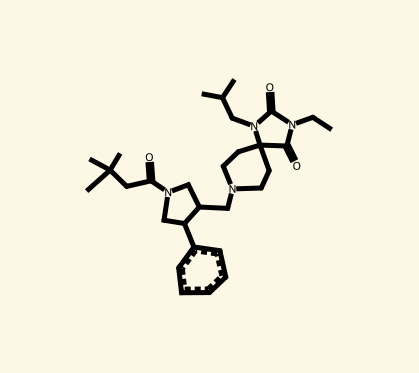 CCN1C(=O)N(CC(C)C)C2(CCN(CC3CN(C(=O)CC(C)(C)C)CC3c3ccccc3)CC2)C1=O